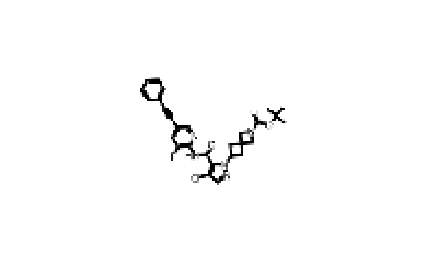 CC(C)(C)OC(=O)N1CC2(CC(n3ncc(Cl)c3C(=O)Nc3ncc(C#Cc4ccccc4)cc3F)C2)C1